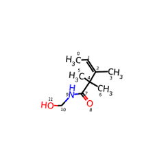 CC=C(C)C(C)(C)C(=O)NCO